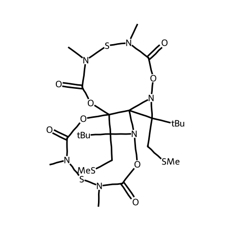 CSCC1(C(C)(C)C)N2OC(=O)N(C)SN(C)C(=O)OC13OC(=O)N(C)SN(C)C(=O)ON1C(CSC)(C(C)(C)C)C213